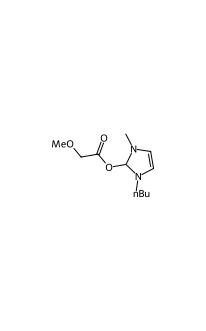 CCCCN1C=CN(C)C1OC(=O)COC